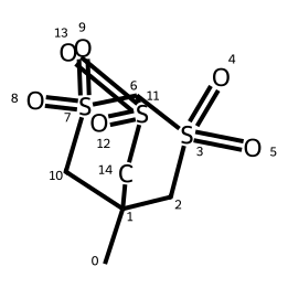 CC12CS(=O)(=O)C(S(=O)(=O)C1)S(=O)(=O)C2